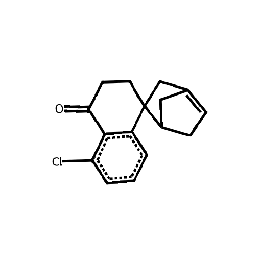 O=C1CCC2(CC3=CCC2C3)c2cccc(Cl)c21